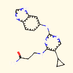 NC(=O)CCNc1nc(Nc2ccc3nc[nH]c3c2)ncc1C1CC1